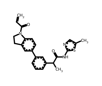 C=CC(=O)N1CCc2cc(-c3cccc(C(C)C(=O)Nc4ncc(C)s4)c3)ccc21